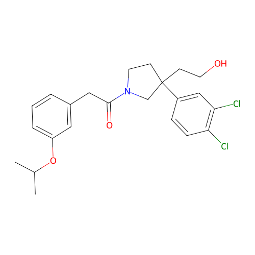 CC(C)Oc1cccc(CC(=O)N2CCC(CCO)(c3ccc(Cl)c(Cl)c3)C2)c1